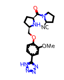 COc1cc(-c2nnn[nH]2)ccc1OC[C@H]1CC[C@@H](C(=O)N2CCC[C@H]2C#N)N1